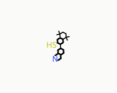 CC1(C)CCC(C)(C)c2cc(-c3ccc4ccncc4c3)c(S)cc21